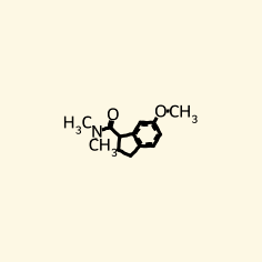 COc1ccc2c(c1)C(C(=O)N(C)C)CC2